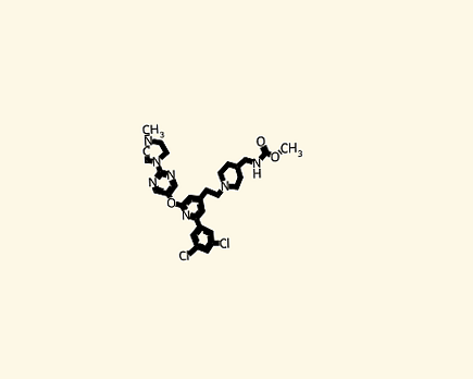 COC(=O)NCC1CCN(CCc2cc(Oc3cnc(N4CCN(C)CC4)nc3)nc(-c3cc(Cl)cc(Cl)c3)c2)CC1